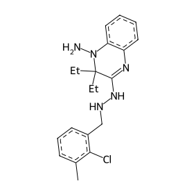 CCC1(CC)C(NNCc2cccc(C)c2Cl)=Nc2ccccc2N1N